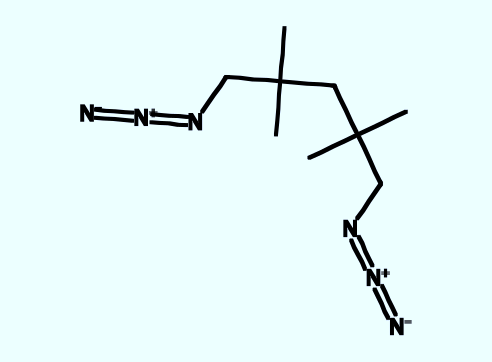 CC(C)(CN=[N+]=[N-])CC(C)(C)CN=[N+]=[N-]